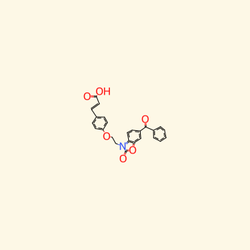 O=C(O)C=Cc1ccc(OCCn2c(=O)oc3cc(C(=O)c4ccccc4)ccc32)cc1